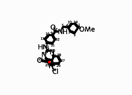 COc1ccc(CNC(=O)c2ccc(NC3=NCC45CC(=O)CCN(Cl)C4=CC=CC5=N3)cc2)cc1